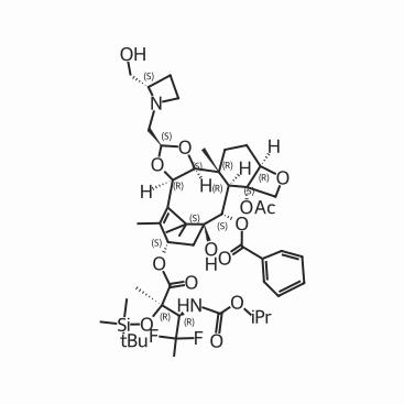 CC(=O)O[C@@]12CO[C@@H]1CC[C@@]1(C)[C@@H]3O[C@H](CN4CC[C@H]4CO)O[C@@H]3C3=C(C)[C@@H](OC(=O)[C@](C)(O[Si](C)(C)C(C)(C)C)[C@@H](NC(=O)OC(C)C)C(C)(F)F)C[C@@](O)([C@@H](OC(=O)c4ccccc4)[C@@H]12)C3(C)C